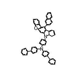 C1=CCC2C(=C1)c1c(cc3oc4ccccc4c3c1-c1ccc3ccccc3c1)N2c1ccc(N(c2ccc(-c3ccccc3)cc2)c2ccc(-c3ccccc3)cc2)cc1